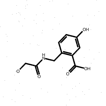 [O]CC(=O)NCc1ccc(O)cc1C(=O)O